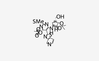 CSc1nc(N[C@@H]2C[C@H](CO)C3OC(C)(C)O[C@H]32)c(-c2nc3cnccc3s2)c(OS(C)(=O)=O)n1